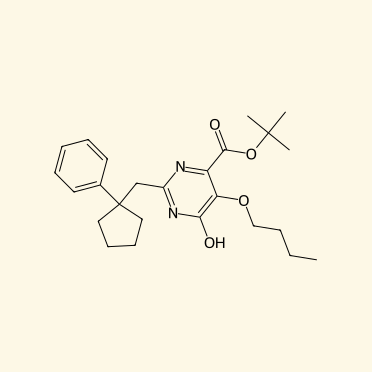 CCCCOc1c(O)nc(CC2(c3ccccc3)CCCC2)nc1C(=O)OC(C)(C)C